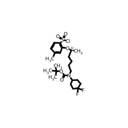 Cc1ccc(S(=O)(=O)Cl)c(O[C@@H](C)CCCCN(C(=O)OC(C)(C)C)C2CCC(F)(F)CC2)c1